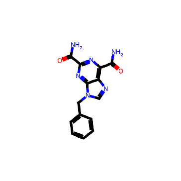 NC(=O)c1nc(C(N)=O)c2ncn(Cc3ccccc3)c2n1